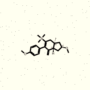 C=C1C(c2ccc(OC)cc2)=C([Si](C)(C)C)C[C@@]2(C)C[C@@H](OC)C[C@H]12